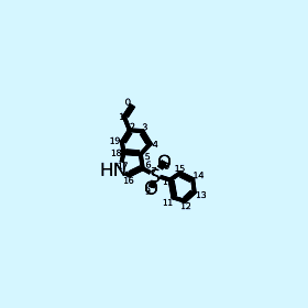 C=Cc1ccc2c(S(=O)(=O)c3ccccc3)c[nH]c2c1